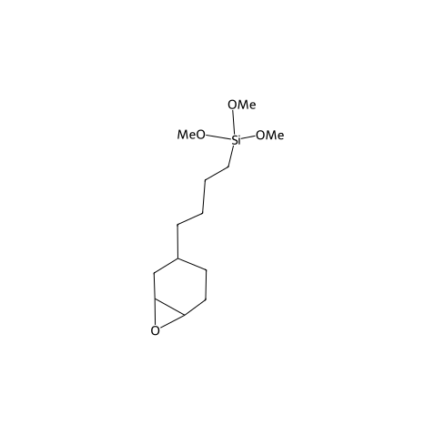 CO[Si](CCCCC1CCC2OC2C1)(OC)OC